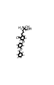 C[C@](N)(CO)CCCc1ccc(Oc2cccc(OCc3ccccc3)c2)cc1Cl